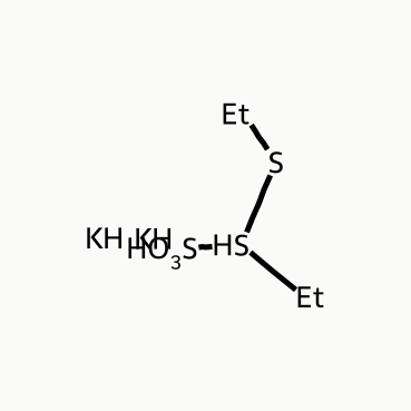 CCS[SH](CC)S(=O)(=O)O.[KH].[KH]